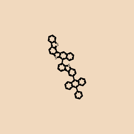 c1ccc(-c2c3ccccc3c(-c3ccc4sc5c(-c6c7ccccc7cc7c6sc6ccc8c9ccccc9sc8c67)cccc5c4c3)c3ccccc23)cc1